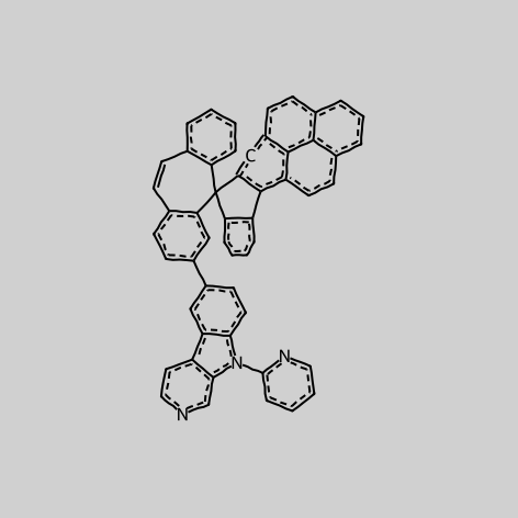 C1=Cc2ccc(-c3ccc4c(c3)c3ccncc3n4-c3ccccn3)cc2C2(c3ccccc31)c1ccccc1-c1c2cc2ccc3cccc4ccc1c2c34